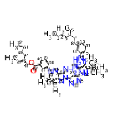 CCCCC(CC)CCc1cccc(/N=N/c2c(C(C)(C)C)nn(-c3cc(-n4nc(C(C)(C)C)c(/N=N/c5cccc(C(=O)OCC(CC)CCCC)c5)c4N)ncn3)c2N)c1